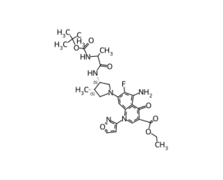 CCOC(=O)c1cn(-c2ccon2)c2cc(N3C[C@H](C)[C@H](NC(=O)C(C)NC(=O)OC(C)(C)C)C3)c(F)c(N)c2c1=O